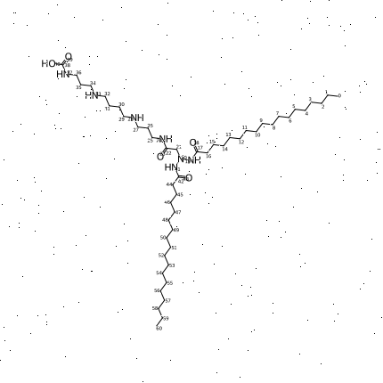 CCCCCCCCCCCCCCCCCC(=O)NN(CC(=O)NCCCNCCCCNCCCNC(=O)O)NC(=O)CCCCCCCCCCCCCCCCC